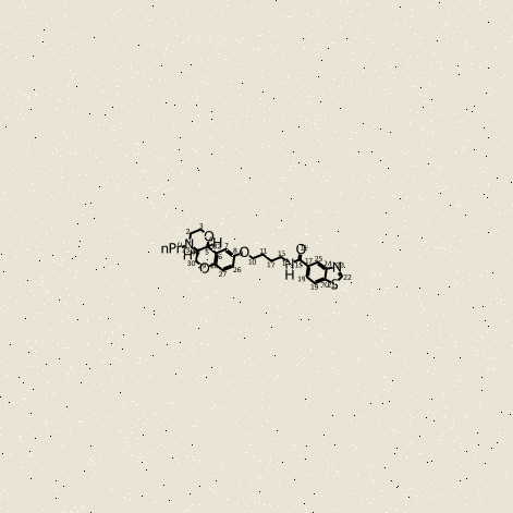 CCCN1CCO[C@@H]2c3cc(OCCCCNC(=O)c4ccc5scnc5c4)ccc3OC[C@H]21